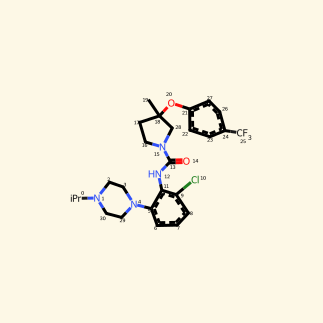 CC(C)N1CCN(c2cccc(Cl)c2NC(=O)N2CCC(C)(Oc3ccc(C(F)(F)F)cc3)C2)CC1